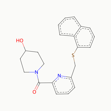 O=C(c1cccc(CSc2cccc3ccccc23)n1)N1CCC(O)CC1